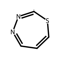 [C]1=NN=CC=CS1